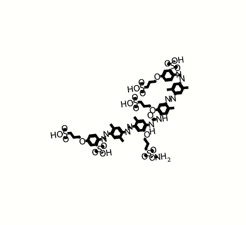 Cc1cc(/N=N/c2cc(OCCCS(=O)(=O)ON)c(NC(=O)Nc3cc(C)c(/N=N/c4cc(C)c(/N=N\c5ccc(OCCCS(=O)(=O)O)cc5S(=O)(=O)O)cc4C)cc3OCCCS(=O)(=O)O)cc2C)c(C)cc1N=Nc1ccc(OCCCS(=O)(=O)O)cc1S(=O)(=O)O